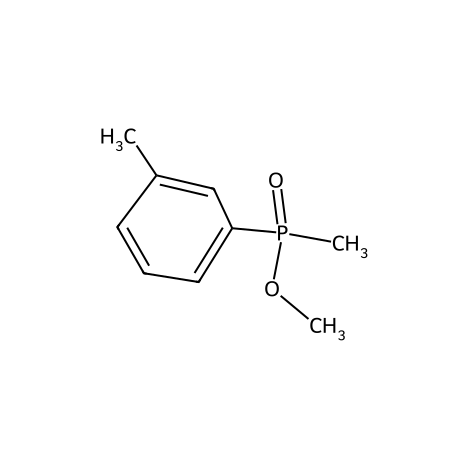 COP(C)(=O)c1cccc(C)c1